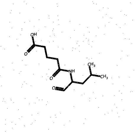 CC(C)CC(C=O)NC(=O)CCCC(=O)O